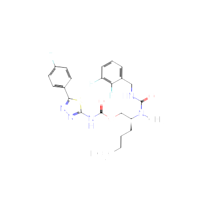 CN(C(=O)NCc1cccc(F)c1F)[C@@H](CCCC(=O)O)COC(=O)Nc1nnc(-c2ccc(F)cc2)s1